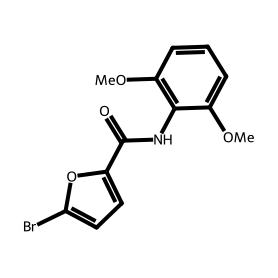 COc1cccc(OC)c1NC(=O)c1ccc(Br)o1